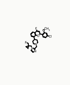 COc1cc(Cl)ccc1C1C=C(F)c2cccc(C3CCN(Cc4nccn4CC4(CF)CC4)CC3)c2O1